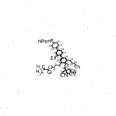 C=C(C)C(=O)OCCCc1cc(-c2ccc(C3CCC(CCCCC)CC3)cc2CC)cc(CCCC#N)c1OCC(CC#N)(CC#N)CC#N